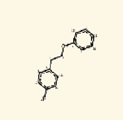 Fc1ccc(CCOc2[c]cccc2)cc1